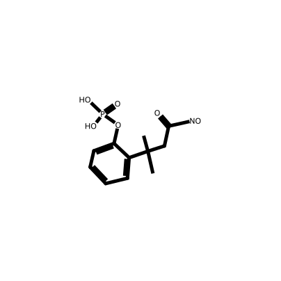 CC(C)(CC(=O)N=O)c1ccccc1OP(=O)(O)O